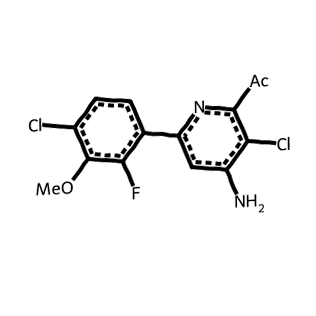 COc1c(Cl)ccc(-c2cc(N)c(Cl)c(C(C)=O)n2)c1F